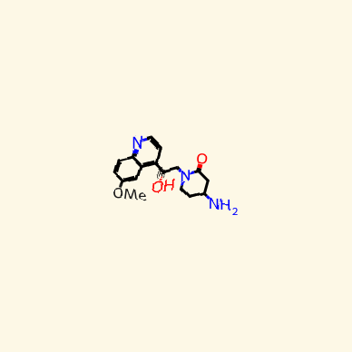 COc1ccc2nccc([C@@H](O)CN3CCC(N)CC3=O)c2c1